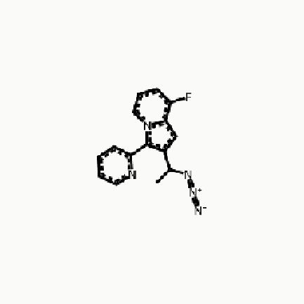 CC(N=[N+]=[N-])c1cc2c(F)cccn2c1-c1ccccn1